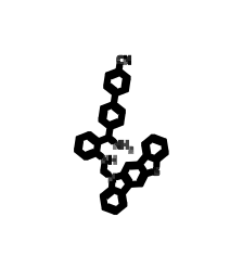 N#Cc1ccc(-c2ccc(C(N)c3ccccc3NCn3c4ccccc4c4cc5sc6ccccc6c5cc43)cc2)cc1